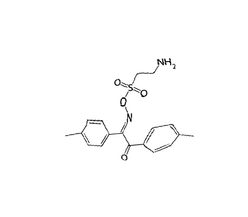 Cc1ccc(C(=O)C(=NOS(=O)(=O)CCN)c2ccc(C)cc2)cc1